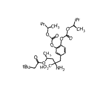 CC(C)C(C)OC(=O)Oc1ccc(CC(N)(C[C@H](C)OC(=O)CC(C)(C)C)C(=O)O)cc1OC(=O)OC(C)C(C)C